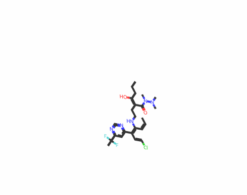 C\C=C/C(NCC/C(C(=O)N(C)N(C)C)=C(\O)CCC)=C(\C=C\Cl)c1cc(C(C)(F)F)ncn1